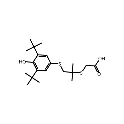 CC(C)(CSc1cc(C(C)(C)C)c(O)c(C(C)(C)C)c1)SCC(=O)O